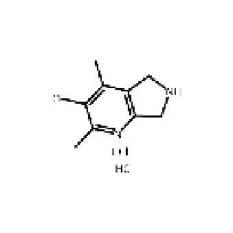 Cc1nc2c(c(C)c1Cl)CNC2.Cl.Cl